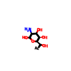 CC(=O)C(O)[C@H]1OC(O)[C@@H](N)[C@@H](O)[C@@H]1O